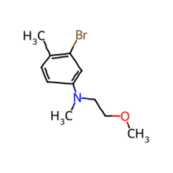 COCCN(C)c1ccc(C)c(Br)c1